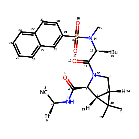 CC[C@@H](C#N)NC(=O)[C@@H]1[C@@H]2[C@H](CN1C(=O)[C@@H](N(C)S(=O)(=O)c1ccc3ccccc3c1)C(C)(C)C)C2(C)C